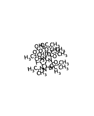 CC(C)(C)OC(=O)OC(=O)OC(C)(C)C.CC(C)n1nc(Br)c2c(N(C(=O)OC(C)(C)C)C(=O)OC(C)(C)C)ncc(I)c21